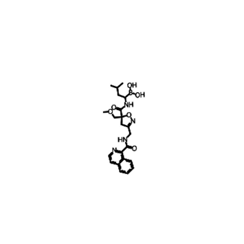 COCC1(C(=O)NC(CC(C)C)B(O)O)CC(CNC(=O)c2nccc3ccccc23)=NO1